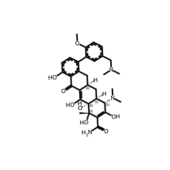 COc1ccc(CN(C)C)cc1-c1ccc(O)c2c1C[C@H]1C[C@H]3[C@H](N(C)C)C(O)=C(C(N)=O)[C@](C)(O)[C@@]3(O)C(O)=C1C2=O